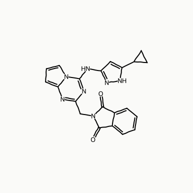 O=C1c2ccccc2C(=O)N1Cc1nc(Nc2cc(C3CC3)[nH]n2)n2cccc2n1